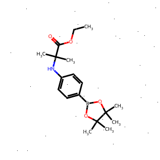 CCOC(=O)C(C)(C)Nc1ccc(B2OC(C)(C)C(C)(C)O2)cc1